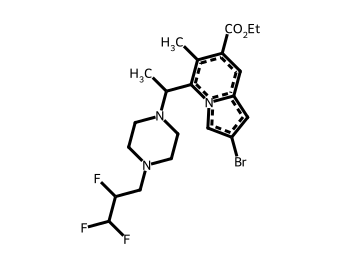 CCOC(=O)c1cc2cc(Br)cn2c(C(C)N2CCN(CC(F)C(F)F)CC2)c1C